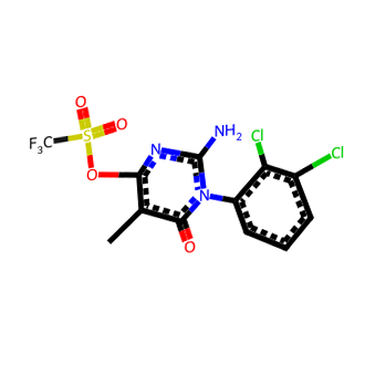 Cc1c(OS(=O)(=O)C(F)(F)F)nc(N)n(-c2cccc(Cl)c2Cl)c1=O